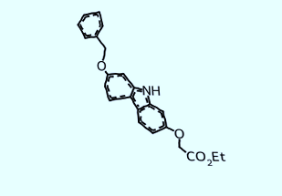 CCOC(=O)COc1ccc2c(c1)[nH]c1cc(OCc3ccccc3)ccc12